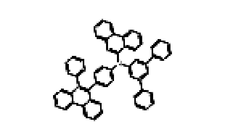 c1ccc(-c2cc(-c3ccccc3)cc(N(c3ccc(-c4c(-c5ccccc5)c5ccccc5c5ccccc45)cc3)c3cc4ccccc4c4ccccc34)c2)cc1